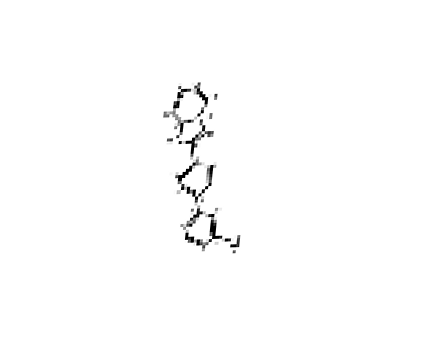 Clc1cccc(-c2ccc(-c3cn4ccccc4n3)cc2)c1